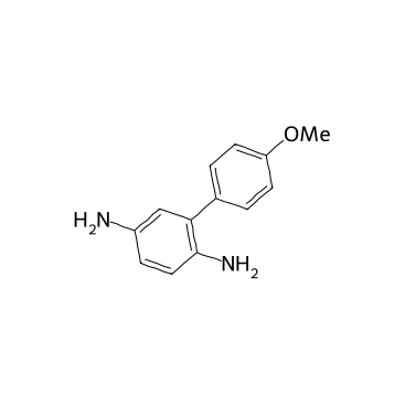 COc1ccc(-c2cc(N)ccc2N)cc1